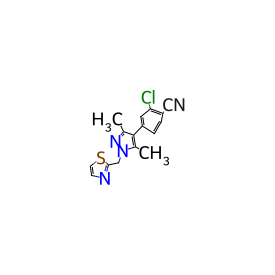 Cc1nn(Cc2nccs2)c(C)c1-c1ccc(C#N)c(Cl)c1